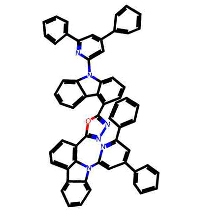 c1ccc(-c2cc(-c3ccccc3)nc(-n3c4ccccc4c4c(-c5nnc(-c6cccc7c8ccccc8n(-c8cc(-c9ccccc9)cc(-c9ccccc9)n8)c67)o5)cccc43)c2)cc1